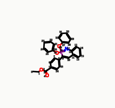 CCOC(=O)c1ccc(C2=Cc3ccccc3N=P2(Oc2ccccc2)Oc2ccccc2)cc1